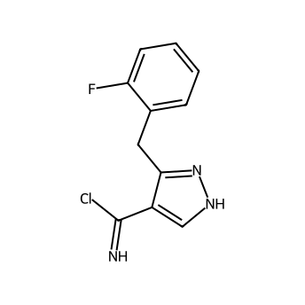 N=C(Cl)c1c[nH]nc1Cc1ccccc1F